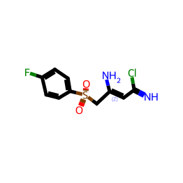 N=C(Cl)/C=C(\N)CS(=O)(=O)c1ccc(F)cc1